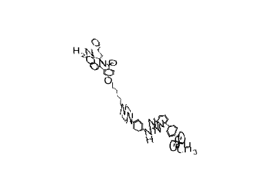 CS(=O)(=O)c1ccc(-c2cccc3nc(Nc4ccc(N5CCN(CCCCCCOc6ccc7c(c6)C(=O)N(C(CCC=O)C(N)=O)C7=O)CC5)cc4)nn23)cc1